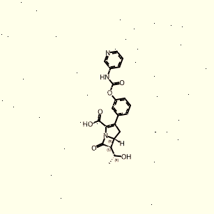 C[C@@H](O)[C@H]1C(=O)N2C(C(=O)O)=C(c3cccc(OC(=O)Nc4cccnc4)c3)C[C@H]12